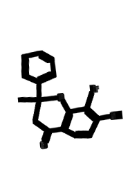 CC1(c2ccccc2)CC(=O)c2ccc(O)c(Br)c2O1